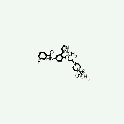 Cn1nccc1-c1cc(NC(=O)c2cccc(F)c2)ccc1OCCN1CCN(S(C)(=O)=O)CC1